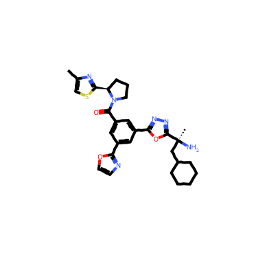 Cc1csc([C@H]2CCCN2C(=O)c2cc(-c3ncco3)cc(-c3nnc([C@@](C)(N)CC4CCCCC4)o3)c2)n1